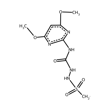 [CH2]S(=O)(=O)NNC(=O)Nc1nc(OC)cc(OC)n1